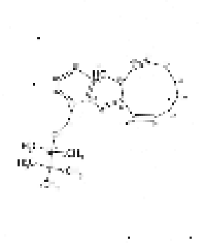 CC(C)(C)[Si](C)(C)OCc1ccccc1C=C1C#CCCCCC#CC1O